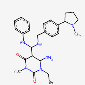 CC(C)CN1C(=O)N(C)C(=O)C(C(NCc2ccc(C3CCCN3C)cc2)Nc2ccccc2)C1N